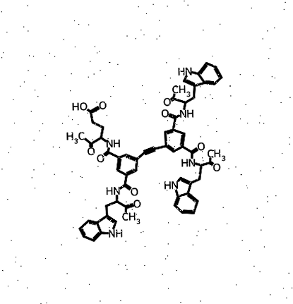 CC(=O)C(CCC(=O)O)NC(=O)c1cc(C#Cc2cc(C(=O)NC(Cc3c[nH]c4ccccc34)C(C)=O)cc(C(=O)NC(Cc3c[nH]c4ccccc34)C(C)=O)c2)cc(C(=O)NC(Cc2c[nH]c3ccccc23)C(C)=O)c1